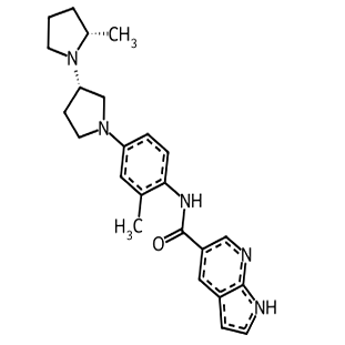 Cc1cc(N2CC[C@H](N3CCC[C@@H]3C)C2)ccc1NC(=O)c1cnc2[nH]ccc2c1